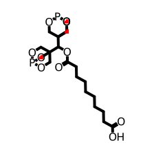 O=C(O)CCCCCCCCC(=O)OC(C12COP(OC1)OC2)C12COP(OC1)OC2